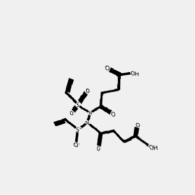 C=C[S+]([O-])N(C(=O)CCC(=O)O)N(C(=O)CCC(=O)O)S(=O)(=O)C=C